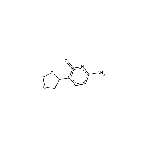 Nc1ccn(C2COCO2)c(=O)n1